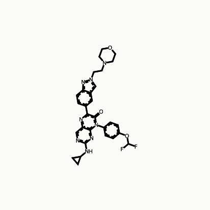 O=c1c(-c2ccc3nn(CCN4CCOCC4)cc3c2)nc2cnc(NC3CC3)nc2n1-c1ccc(OC(F)F)cc1